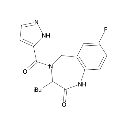 CCC(C)C1C(=O)Nc2ccc(F)cc2CN1C(=O)c1ccn[nH]1